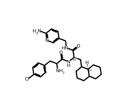 Nc1ccc(CNC(=O)[C@@H](CC2CCCC3CCCC[C@@H]32)NC(=O)C(N)Cc2ccc(Cl)cc2)cn1